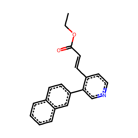 CCOC(=O)/C=C/c1ccncc1-c1ccc2ccccc2c1